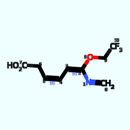 C=N/C(=C\C=C/CC(=O)O)OCC(F)(F)F